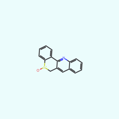 [O-][S+]1Cc2cc3ccccc3nc2-c2ccccc21